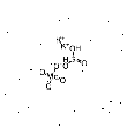 O=[Si](O)O.[K+].[K+].[O]=[Mo](=[O])([O-])[O-]